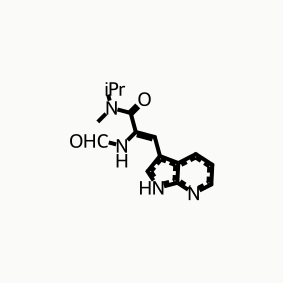 CC(C)N(C)C(=O)/C(=C/c1c[nH]c2ncccc12)NC=O